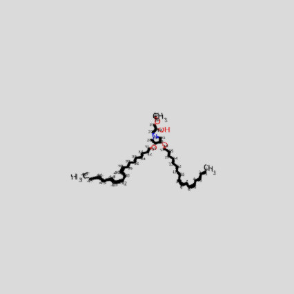 CCCCC/C=C\C/C=C\CCCCCCCCO[C@@H]1CN(C[C@@H](O)COC)C[C@H]1OCCCCCCCC/C=C\C/C=C\CCCCC